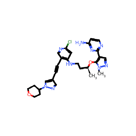 C[C@@H](CCNc1cc(Cl)ncc1C#Cc1cnn(C2CCOCC2)c1)Oc1c(-c2nccc(N)n2)cnn1C